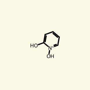 Oc1cccc[n+]1O